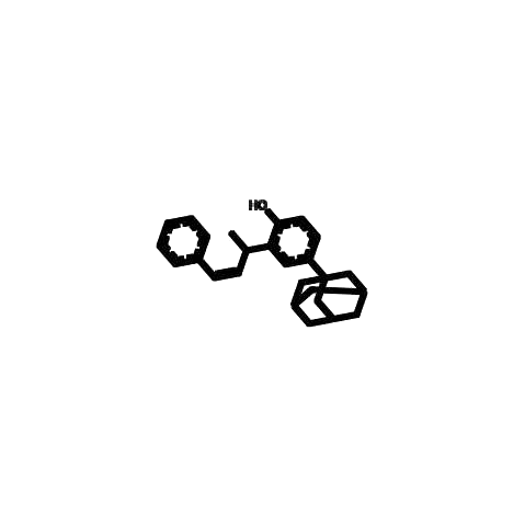 CC(/C=C\c1ccccc1)c1cc(C23CC4CC(CC(C4)C2)C3)ccc1O